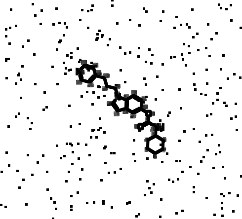 O=C(NC1CCCCC1)Oc1ccc2c(ccn2CCCc2ccncc2)c1